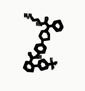 NCCNC(=O)C(c1ccccc1)N1CCC(c2ccc(NC(=O)c3ccccc3-c3ccc(C(F)(F)F)cc3)cc2)CC1